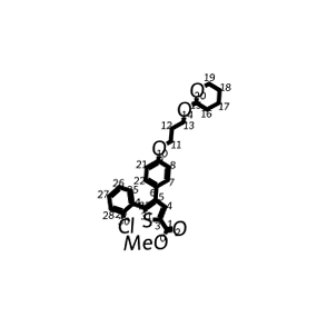 COC(=O)c1cc(-c2ccc(OCCCOC3CCCCO3)cc2)c(-c2ccccc2Cl)s1